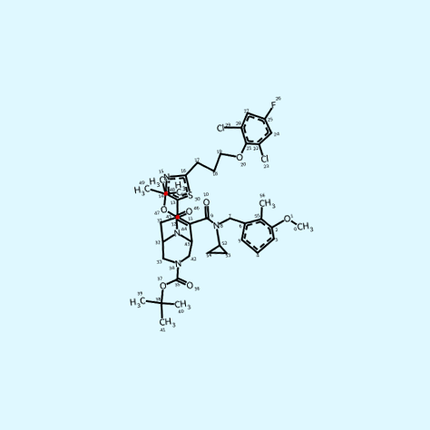 COc1cccc(CN(C(=O)C2=C(c3cnc(CCCOc4c(Cl)cc(F)cc4Cl)s3)CC3CN(C(=O)OC(C)(C)C)CC2N3C(=O)OC(C)(C)C)C2CC2)c1C